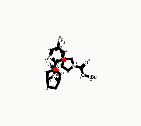 CC(C)(C)OC(=O)N1CC[C@@H](C(=O)N2C3CCC2CN(c2ncc(C(F)(F)F)cn2)C3)C1